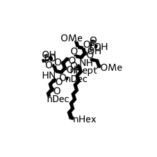 CCCCCC/C=C\CCCCCCCCCC(=O)NC1C(OCC2OC(OP(C)(=O)O)C(NC(=O)CC(=O)CCCCCCCCCCC)C(OCCCCCCCCCC)C2O)OC(COC)C(OP(=O)(O)O)C1OCC[C@@H](CCCCCCC)OC